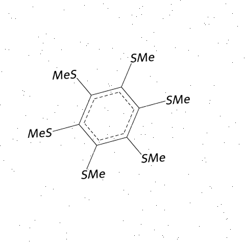 CSc1c(SC)c(SC)c(SC)c(SC)c1SC